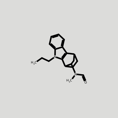 CCCn1c2c(c3ccccc31)C1CCC2C(N(C)C=O)C1